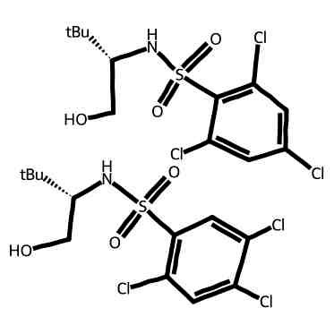 CC(C)(C)[C@@H](CO)NS(=O)(=O)c1c(Cl)cc(Cl)cc1Cl.CC(C)(C)[C@@H](CO)NS(=O)(=O)c1cc(Cl)c(Cl)cc1Cl